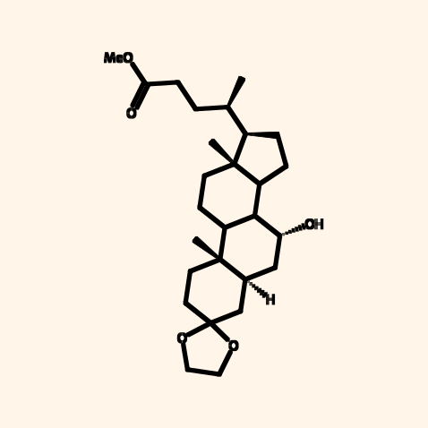 COC(=O)CC[C@@H](C)[C@H]1CCC2C3C(CC[C@@]21C)[C@@]1(C)CCC2(C[C@@H]1C[C@H]3O)OCCO2